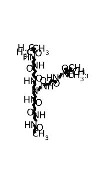 CCC(=O)NCCNC(=O)CCC(=O)NCCN(CCNC(=O)CCC(=O)NCCNC(=O)C(C)(C)C)CCNC(=O)CCC(=O)NCCNC(=O)C(C)(C)C